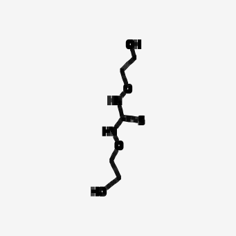 OCCONC(=S)NOCCO